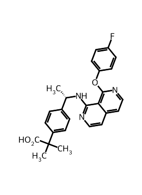 C[C@H](Nc1nccc2ccnc(Oc3ccc(F)cc3)c12)c1ccc(C(C)(C)C(=O)O)cc1